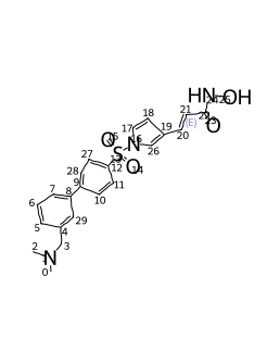 CN(C)Cc1cccc(-c2ccc(S(=O)(=O)n3ccc(/C=C/C(=O)NO)c3)cc2)c1